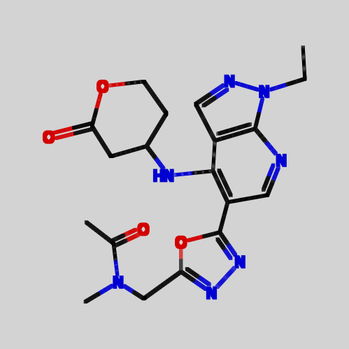 CCn1ncc2c(NC3CCOC(=O)C3)c(-c3nnc(CN(C)C(C)=O)o3)cnc21